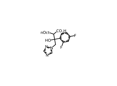 CCCCCCCCC(C(=O)O)C(O)(Cn1cncn1)c1ccc(F)cc1F